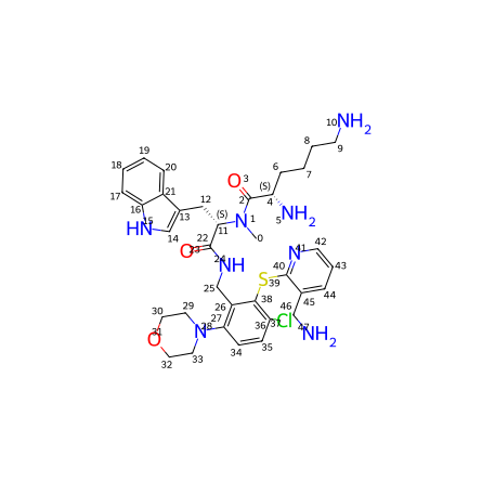 CN(C(=O)[C@@H](N)CCCCN)[C@@H](Cc1c[nH]c2ccccc12)C(=O)NCc1c(N2CCOCC2)ccc(Cl)c1Sc1ncccc1CN